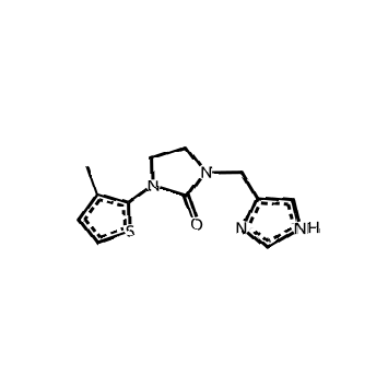 Cc1ccsc1N1CCN(Cc2c[nH]cn2)C1=O